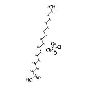 CCCCCCCCCCCCCCCCCC(=O)O.[O]=[Cr](=[O])([Cl])[Cl]